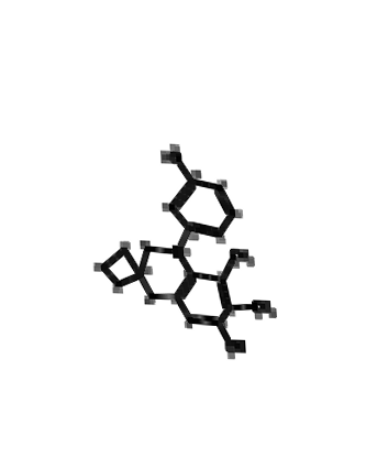 Cc1c(O)cc2c(c1C)N(c1cccc(O)c1)CC1(CCC1)C2